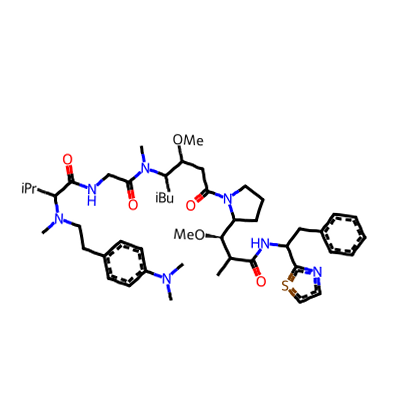 CCC(C)C(C(CC(=O)N1CCCC1[C@H](OC)C(C)C(=O)NC(Cc1ccccc1)c1nccs1)OC)N(C)C(=O)CNC(=O)C(C(C)C)N(C)CCc1ccc(N(C)C)cc1